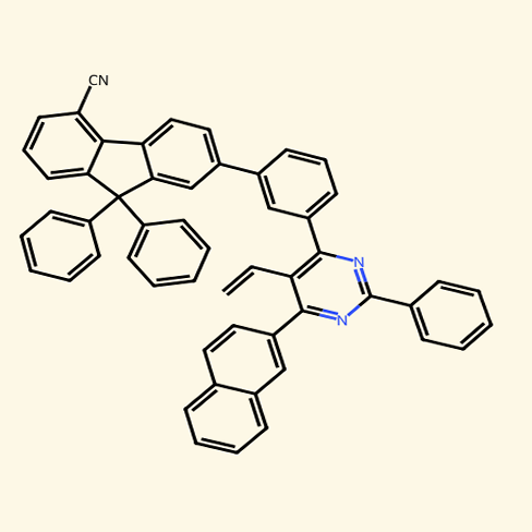 C=Cc1c(-c2cccc(-c3ccc4c(c3)C(c3ccccc3)(c3ccccc3)c3cccc(C#N)c3-4)c2)nc(-c2ccccc2)nc1-c1ccc2ccccc2c1